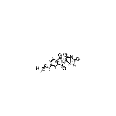 COCc1ccc2c(c1)C(=O)N([C@@H]1CCC(=O)NC1=O)C2=O